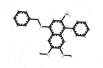 CSc1cc2c(OCc3ccccc3)cc(N)c(-c3ccccc3)c2cc1SC